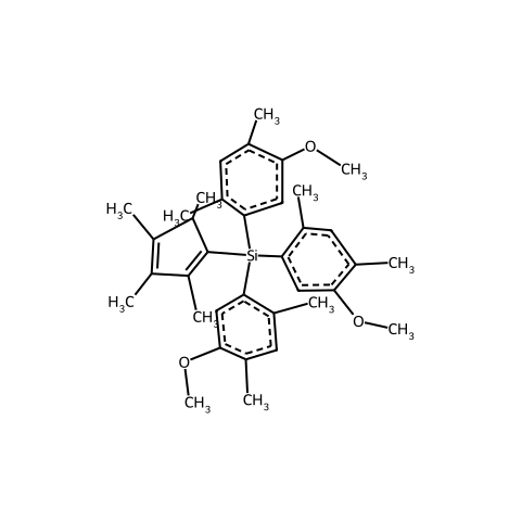 COc1cc([Si](C2=C(C)C(C)=C(C)C2C)(c2cc(OC)c(C)cc2C)c2cc(OC)c(C)cc2C)c(C)cc1C